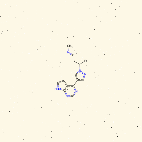 CCC(C/C=N/C)n1cc(-c2ncnc3[nH]ccc23)cn1